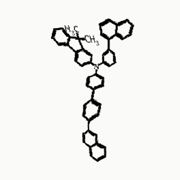 CC1(C)c2ccccc2-c2ccc(N(c3ccc(-c4ccc(-c5ccc6ccccc6c5)cc4)cc3)c3cccc(-c4cccc5ccccc45)c3)cc21